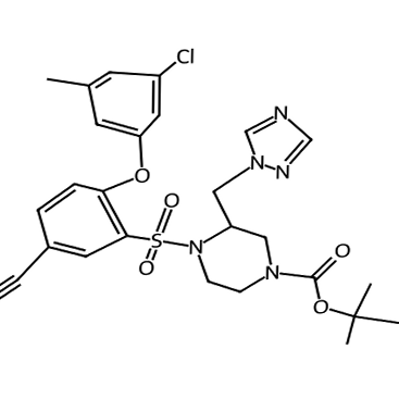 Cc1cc(Cl)cc(Oc2ccc(C#N)cc2S(=O)(=O)N2CCN(C(=O)OC(C)(C)C)CC2Cn2cncn2)c1